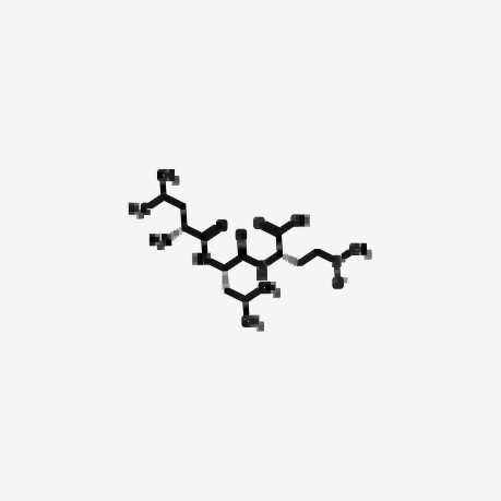 CC(C)C[C@@H](N)C(=O)N[C@@H](CC(C)C)C(=O)N[C@@H](CC[S+](C)[O-])C(=O)O